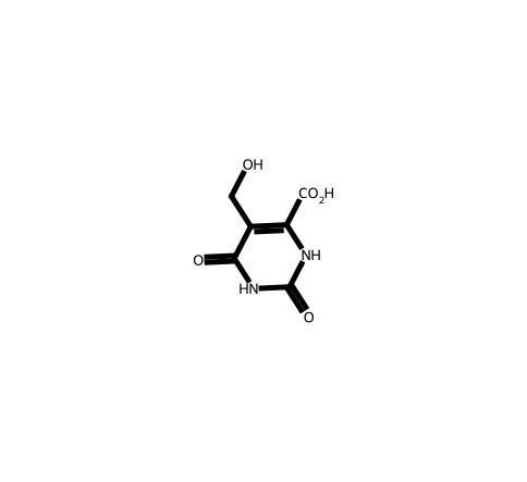 O=C(O)c1[nH]c(=O)[nH]c(=O)c1CO